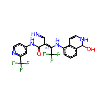 N=C/C(C(=O)Nc1ccnc(C(F)(F)F)c1)=C(\Nc1cccc2c1C=CNC2O)C(F)(F)F